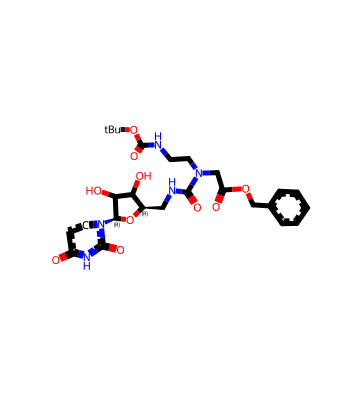 CC(C)(C)OC(=O)NCCN(CC(=O)OCc1ccccc1)C(=O)NC[C@H]1O[C@@H](n2ccc(=O)[nH]c2=O)C(O)C1O